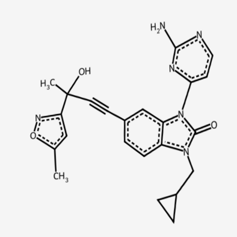 Cc1cc(C(C)(O)C#Cc2ccc3c(c2)n(-c2ccnc(N)n2)c(=O)n3CC2CC2)no1